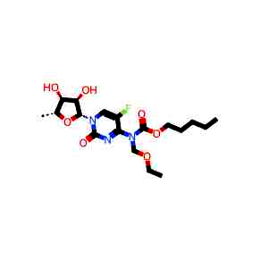 CCCCCOC(=O)N(COCC)c1nc(=O)n([C@@H]2O[C@H](C)[C@@H](O)[C@H]2O)cc1F